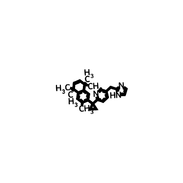 Cc1cc2c(cc1C1(c3ccc(Cc4ncc[nH]4)cn3)CC1)C(C)(C)C=CC2(C)C